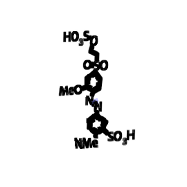 CNc1ccc(/N=N/c2ccc(S(=O)(=O)CCOS(=O)(=O)O)cc2OC)cc1S(=O)(=O)O